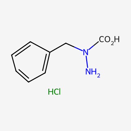 Cl.NN(Cc1ccccc1)C(=O)O